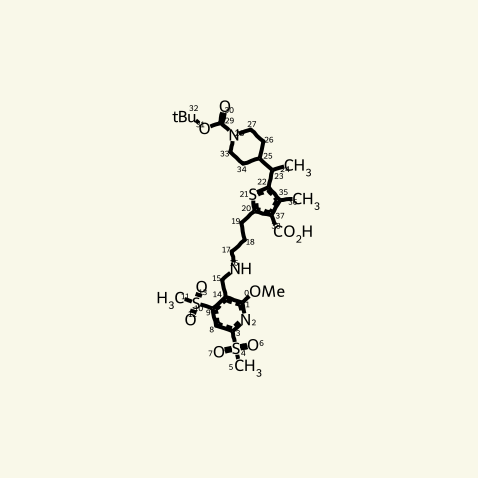 COc1nc(S(C)(=O)=O)cc(S(C)(=O)=O)c1CNCCCc1sc(C(C)C2CCN(C(=O)OC(C)(C)C)CC2)c(C)c1C(=O)O